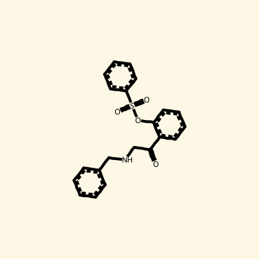 O=C(CNCc1ccccc1)c1ccccc1OS(=O)(=O)c1ccccc1